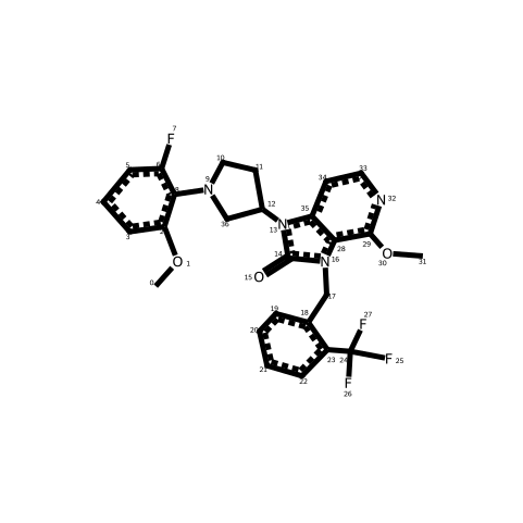 COc1cccc(F)c1N1CCC(n2c(=O)n(Cc3ccccc3C(F)(F)F)c3c(OC)nccc32)C1